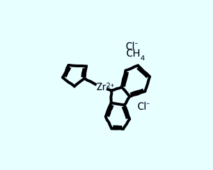 C.C1=CC[C]([Zr+2][CH]2c3ccccc3-c3ccccc32)=C1.[Cl-].[Cl-]